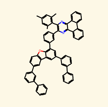 Cc1cc(C)c(-c2nc3c4ccccc4c4ccccc4c3nc2-c2cccc(-c3cc(-c4cccc(-c5ccccc5)c4)cc4c3oc3ccc(-c5cccc(-c6ccccc6)c5)cc34)c2)c(C)c1